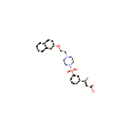 C/C(=C\C(=O)O)c1cccc(S(=O)(=O)N2CCN(CCOc3ccc4ccccc4c3)CC2)c1